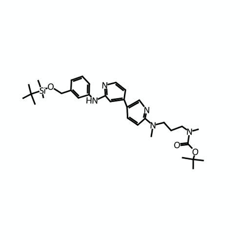 CN(CCCN(C)c1ccc(-c2ccnc(Nc3cccc(CO[Si](C)(C)C(C)(C)C)c3)c2)cn1)C(=O)OC(C)(C)C